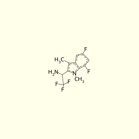 Cc1c(C(N)C(F)(F)F)n(C)c2c(F)cc(F)cc12